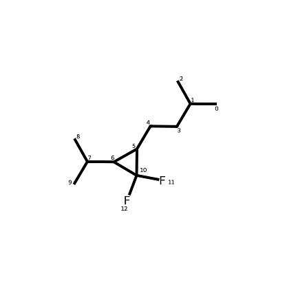 CC(C)CCC1C(C(C)C)C1(F)F